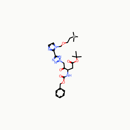 CC(C)(C)OC(=O)CC(NC(=O)OCc1ccccc1)C(=O)Cn1nnc(-c2nccn2COCC[Si](C)(C)C)n1